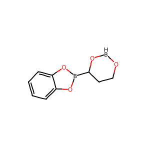 B1OCCC(B2Oc3ccccc3O2)O1